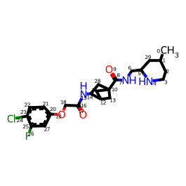 CC1CCNC(CNC(=O)C23CC(C2)C(NC(=O)COc2ccc(Cl)c(F)c2)C3)C1